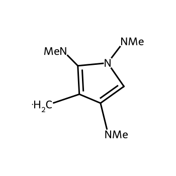 [CH2]c1c(NC)cn(NC)c1NC